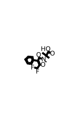 CC(C)(C(=O)O)N1COC(C(F)F)=C(c2ccccc2)C1=O